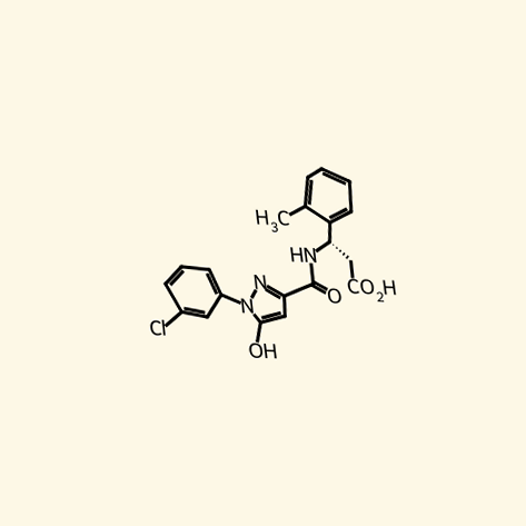 Cc1ccccc1[C@H](CC(=O)O)NC(=O)c1cc(O)n(-c2cccc(Cl)c2)n1